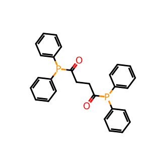 O=C(CCC(=O)P(c1ccccc1)c1ccccc1)P(c1ccccc1)c1ccccc1